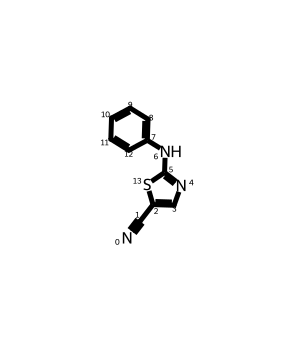 N#Cc1cnc(Nc2ccccc2)s1